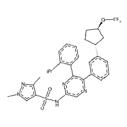 Cc1nn(C)cc1S(=O)(=O)Nc1cnc(-c2cccc([C@@H]3CC[C@@H](OC(F)(F)F)C3)c2)c(-c2ccccc2C(C)C)n1